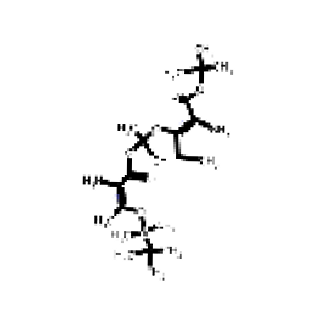 CC/C(OC(C)(C)OC(=O)/C(N)=C(/C)O[Si](C)(C)C(C)(C)C)=C(\N)C(=O)OC(C)(C)C